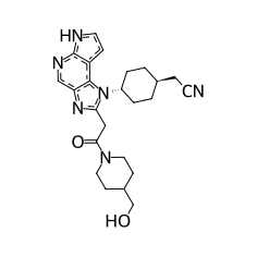 N#CC[C@H]1CC[C@H](n2c(CC(=O)N3CCC(CO)CC3)nc3cnc4[nH]ccc4c32)CC1